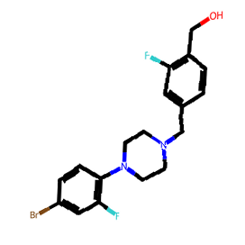 OCc1ccc(CN2CCN(c3ccc(Br)cc3F)CC2)cc1F